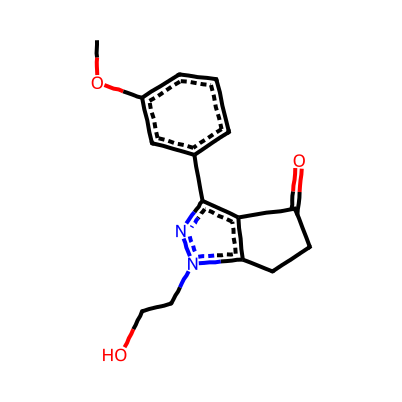 COc1cccc(-c2nn(CCO)c3c2C(=O)CC3)c1